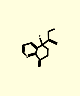 C=C1CCC(F)(C(=C)CC)c2cccnc21